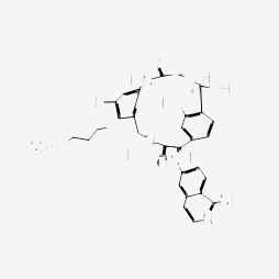 COCCCOc1c(F)cc2cc1CN(C)C(=O)[C@H](Nc1ccc3c(N)nccc3c1)c1ccc(c(C)c1)[C@@H](C)COC(=O)N2